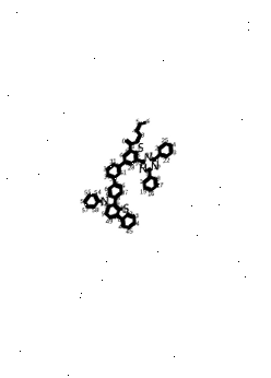 C=c1/c(=C\C=C/C)sc2c(-c3nc(-c4ccccc4)nc(-c4ccccc4)n3)cc(-c3cccc(-c4ccc5c6c7sc8ccccc8c7ccc6n(-c6ccccc6)c5c4)c3)cc12